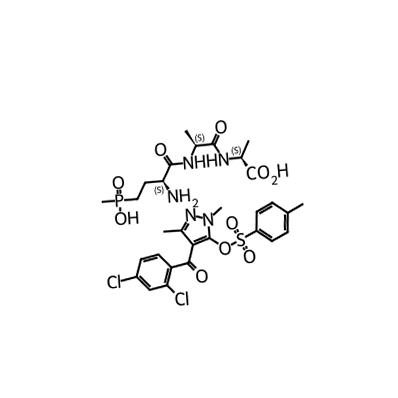 C[C@H](NC(=O)[C@H](C)NC(=O)[C@@H](N)CCP(C)(=O)O)C(=O)O.Cc1ccc(S(=O)(=O)Oc2c(C(=O)c3ccc(Cl)cc3Cl)c(C)nn2C)cc1